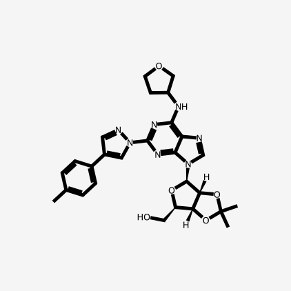 Cc1ccc(-c2cnn(-c3nc(NC4CCOC4)c4ncn([C@@H]5O[C@H](CO)[C@H]6OC(C)(C)O[C@H]65)c4n3)c2)cc1